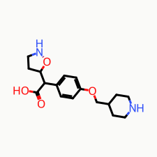 O=C(O)C(c1ccc(OCC2CCNCC2)cc1)C1CCNO1